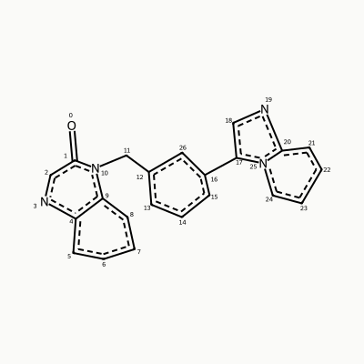 O=c1cnc2ccccc2n1Cc1cccc(-c2cnc3ccccn23)c1